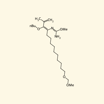 C=C(C)/C(OCCCC)=C(CCCCCCCCCCOCOC)\N=C(/N)OC